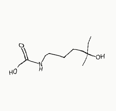 CC(C)(O)CCCNC(=O)O